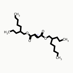 CCCCCC(CCC)COC(=O)/C=C/C(=O)OCC(CCC)CCCCC